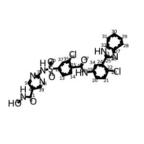 O=C(NO)c1cnc(NS(=O)(=O)c2ccc(C(=O)Nc3ccc(Cl)c(-c4nc5ccccc5[nH]4)c3)c(Cl)c2)nc1